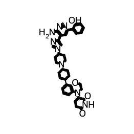 Nc1nnc(-c2ccccc2O)cc1-c1cn(C2CCN([C@H]3CC[C@H](c4cccc5c4OCCN5[C@H]4CCC(=O)NC4=O)CC3)CC2)cn1